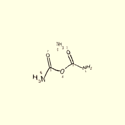 N.NC(=O)OC(N)=O